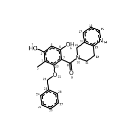 Cc1c(O)cc(O)c(C(=O)N2CCc3ncccc3C2)c1OCc1ccccc1